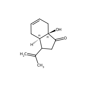 C=C(C)C1CC(=O)[C@@]2(O)CC=CC[C@H]12